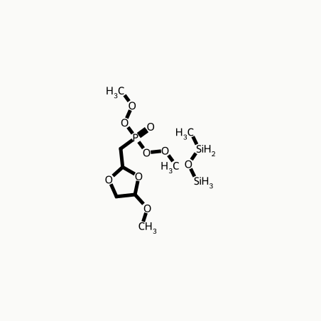 COOP(=O)(CC1OCC(OC)O1)OOC.C[SiH2]O[SiH3]